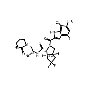 Cc1cc(F)c2cc(C(=O)N3C[C@@H]4CC(F)(F)C[C@@H]4[C@@H]3C(=O)N[C@@H](C#N)C[C@H]3CCCNC3=O)[nH]c2c1Cl